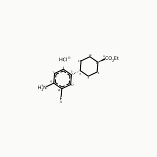 CCOC(=O)[C@H]1CC[C@H](c2ccc(N)c(F)c2)CC1.Cl